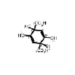 CCC1(C(=O)O)C=C(O)C(CC)(C(=O)O)C=C1O